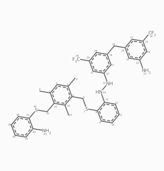 Cc1cc(C)c(CSc2ccccc2NNc2cc(Cc3cc(N)cc(C(F)(F)F)c3)cc(C(F)(F)F)c2)c(C)c1CSc1ccccc1N